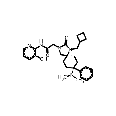 CN(C)[C@]1(c2ccccc2)CC[C@]2(CC1)CN(CC(=O)Nc1ncccc1O)C(=O)N2CC1CCC1